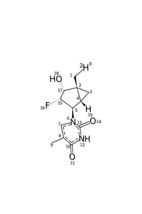 [2H]C[C@@]12C[C@@H]1[C@@H](n1cc(C)c(=O)[nH]c1=O)[C@H](F)[C@@H]2O